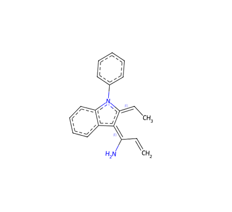 C=C/C(N)=c1\c(=C/C)n(-c2ccccc2)c2ccccc12